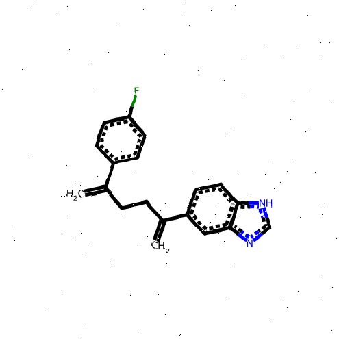 C=C(CCC(=C)c1ccc2[nH]cnc2c1)c1ccc(F)cc1